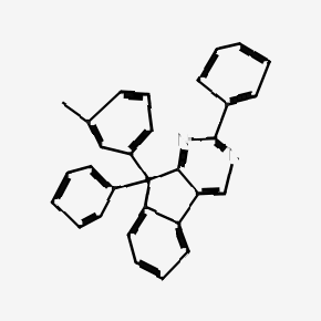 Cc1cccc(C2(c3ccccc3)c3ccccc3-c3cnc(-c4ccccc4)nc32)c1